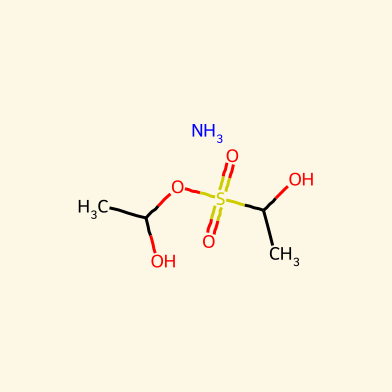 CC(O)OS(=O)(=O)C(C)O.N